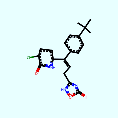 CC(C)(C)c1ccc(/C(=C/Cc2nc(=O)o[nH]2)c2ccc(Cl)c(=O)[nH]2)cc1